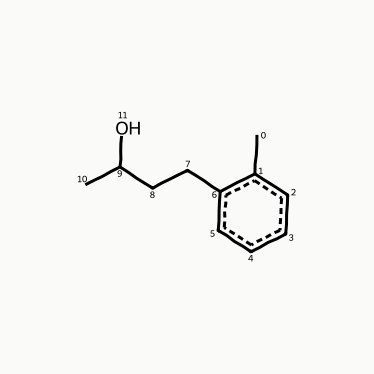 Cc1ccccc1CCC(C)O